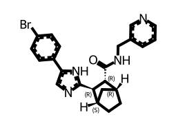 O=C(NCc1cccnc1)[C@@H]1[C@@H]2CC[C@@H](C2)[C@H]1c1ncc(-c2ccc(Br)cc2)[nH]1